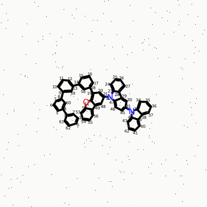 c1ccc(-c2cccc(-c3cccc(-c4cccc(-c5cc(-n6c7ccccc7c7cc(-n8c9ccccc9c9ccccc98)ccc76)cc6c5oc5ccccc56)c4)c3)c2)cc1